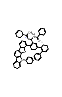 C=C(NC(/N=C(\C)C1CC=CCC1)C1=C(C2=CC=CC3c4ccc5c6c(n(C7=CC=CCC7)c5c4OC23)=CCCC=6)CCC(C2=C(c3ccccc3)C=CCC2)=C1)c1ccccc1